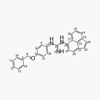 N=C(Nc1ccc(OCc2ccccc2)cc1)Nc1ccc2c3c(cccc13)C=C2